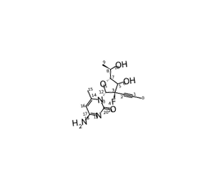 CC#C[C@@]1(F)C(O)[C@@H]([C@@H](C)O)O[C@H]1n1c(C)cc(N)nc1=O